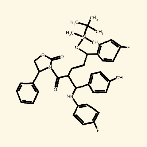 CC(C)(C)[Si](C)(C)OC(CCC(C(=O)N1C(=O)OCC1c1ccccc1)C(Nc1ccc(F)cc1)c1ccc(O)cc1)c1ccc(F)cc1